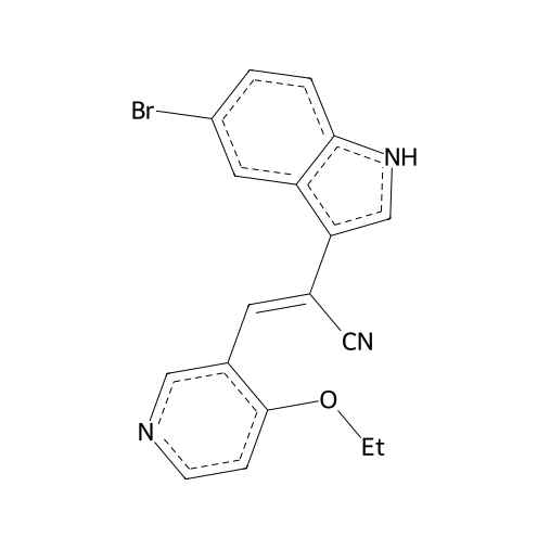 CCOc1ccncc1C=C(C#N)c1c[nH]c2ccc(Br)cc12